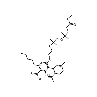 C=C(C)C1CCC(C)=CC1c1c(OCCOC(C)(C)COC(C)(C)CCC(=O)OC)cc(CCCCC)c(C(=O)O)c1O